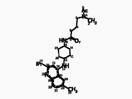 CC(=O)N(C)CCCC(=O)NC1CCC(Nc2cc(C(C)C)nc3ccc(C)cc23)CC1